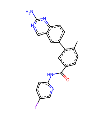 Cc1ccc(C(=O)Nc2ccc(I)cn2)cc1-c1ccc2nc(N)ncc2c1